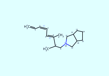 C=C/C=C\C=C(/C)C(C)CN1CC2CCCC2C1